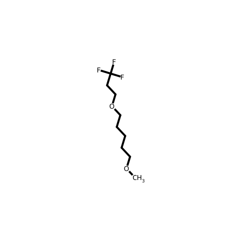 COCCCCCOCCC(F)(F)F